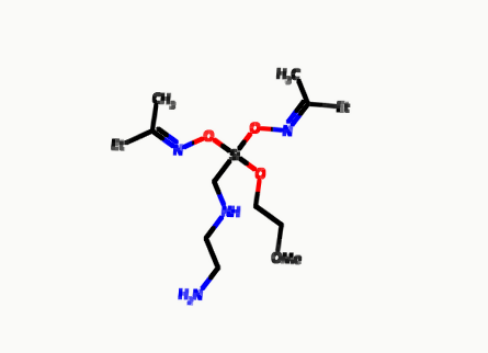 CCC(C)=NO[Si](CNCCN)(OCCOC)ON=C(C)CC